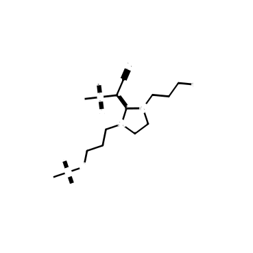 CS(=O)(=O)OCCCN1CCN(CCCBr)C1=C(C#N)S(C)(=O)=O